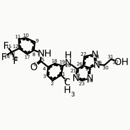 Cc1ccc(C(=O)Nc2cccc(C(F)(F)F)c2)cc1Nc1ncnc2c1cnn2CCO